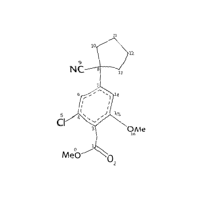 COC(=O)c1c(Cl)cc(C2(C#N)CCCC2)cc1OC